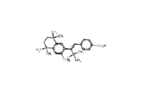 Cc1cc2c(cc1/C(=C/c1ccc(C(=O)O)cc1)[Si](C)(C)C)C(C)(C)CCC2(C)C